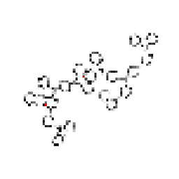 c1cc(-c2cccc3cc(-c4ccc5c(c4)c4ccccc4n5-c4ccc(N(c5ccc(-c6cccc(-n7c8ccccc8c8ccccc87)c6)cc5)c5ccccc5-c5cccc6ccccc56)cc4)ccc23)cc(N(c2ccc(-c3cccc(-n4c5ccccc5c5ccccc54)c3)cc2)c2ccc(-n3c4ccccc4c4ccccc43)cc2)c1